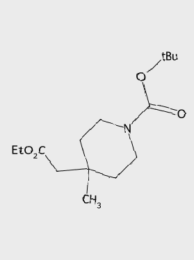 CCOC(=O)CC1(C)CCN(C(=O)OC(C)(C)C)CC1